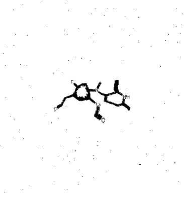 C=C1CCC(N(C)c2cc(F)c(CC=O)cc2OC=O)C(=C)N1